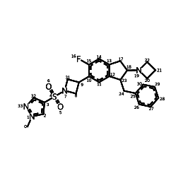 Cn1cc(S(=O)(=O)N2CC(c3cc4c(cc3F)CC(N3CCC3)C4Cc3ccccc3)C2)cn1